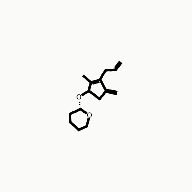 C=CCC1=C(C)C(O[C@H]2CCCCO2)CC1=C